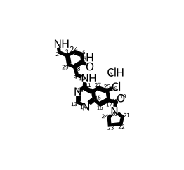 Cl.NCc1ccc(O)c(CNc2ncnc3cc(C(=O)N4CCCC4)c(Cl)cc23)c1